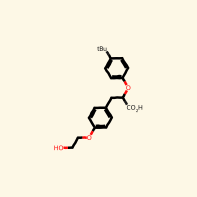 CC(C)(C)c1ccc(OC(Cc2ccc(OCCO)cc2)C(=O)O)cc1